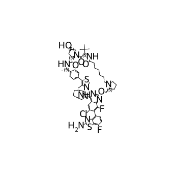 Cc1ncsc1-c1ccc([C@H](C)NC(=O)[C@@H]2C[C@@H](O)CN2C(=O)[C@@H](NC(=O)CCCCCCN2CCC[C@H]2COc2nc(N3CC4CCC(C3)N4)c3cc(Cl)c(-c4ccc(F)c5sc(N)nc45)c(F)c3n2)C(C)(C)C)cc1